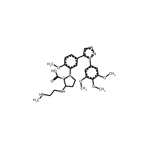 CNCCNC1CCN(c2cc(-c3cnnn3-c3cc(OC)c(OC)c(OC)c3)ccc2OC)[C@@H]1C(=O)O